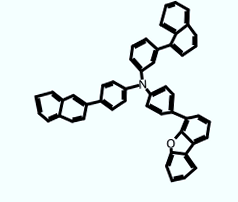 c1cc(-c2cccc3ccccc23)cc(N(c2ccc(-c3ccc4ccccc4c3)cc2)c2ccc(-c3cccc4c3oc3ccccc34)cc2)c1